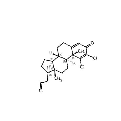 C[C@@]12C(=CC(=O)C(Cl)=C1Cl)CC[C@@H]1[C@@H]2CC[C@]2(C)[C@@H](CC=O)CC[C@@H]12